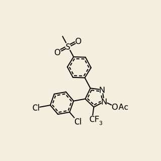 CC(=O)On1nc(-c2ccc(S(C)(=O)=O)cc2)c(-c2ccc(Cl)cc2Cl)c1C(F)(F)F